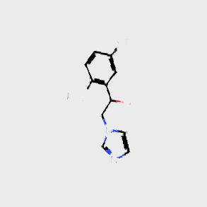 OC(Cn1ccnc1)c1cc(C(F)(F)F)ccc1C(F)(F)F